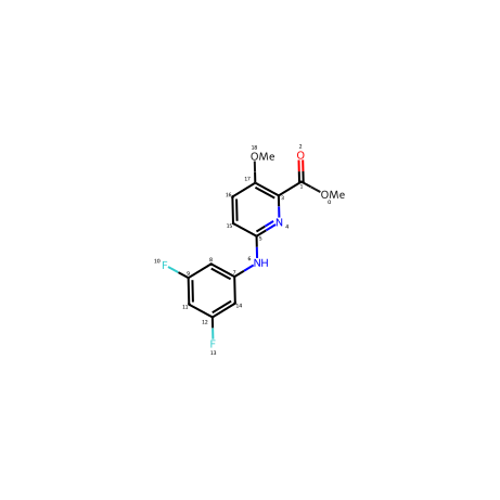 COC(=O)c1nc(Nc2cc(F)cc(F)c2)ccc1OC